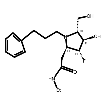 CCNC(=O)C[C@@H]1[C@@H](F)[C@H](O)[C@@H](CO)N1CCCc1ccccc1